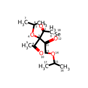 CC(=O)C(OC(C)C)(C(C)=O)C(=O)COC(C)C.[Se]